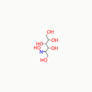 OCC(=NO)C(O)C(O)C(O)CO